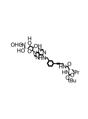 CC(C)C[C@H](NC(=O)OC(C)(C)C)C(=O)NCC#Cc1cccc(CNc2ncnc3c2ncn3[C@@H]2O[C@H](C(O)N(C)C=O)[C@@H](O)[C@H]2O)c1